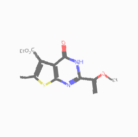 C=C(OCC)c1nc2sc(C)c(C(=O)OCC)c2c(=O)[nH]1